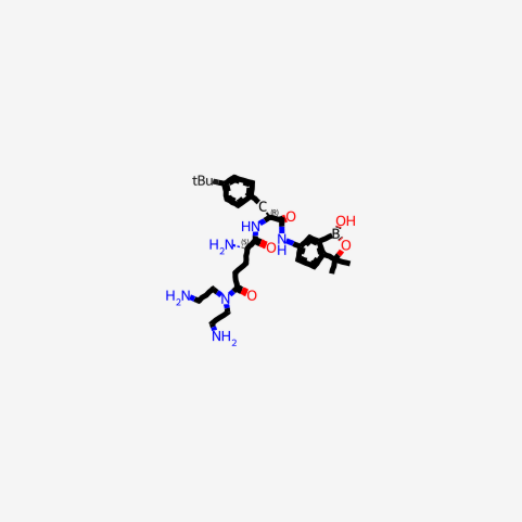 CC(C)(C)c1ccc(C[C@@H](NC(=O)[C@@H](N)CCC(=O)N(CCN)CCN)C(=O)Nc2ccc3c(c2)B(O)OC3(C)C)cc1